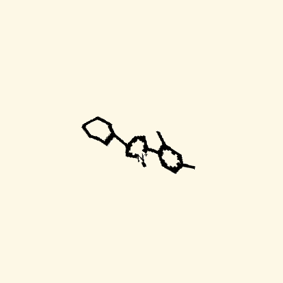 Cc1ccc(-c2ccc(C3CCCCC3)c[n+]2C)c(C)c1